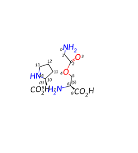 NCC(=O)OC[C@H](N)C(=O)O.O=C(O)[C@@H]1CCCN1